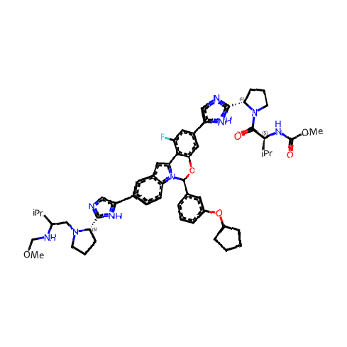 COCNC(CN1CCC[C@H]1c1ncc(-c2ccc3c(c2)cc2n3C(c3cccc(OC4CCCC4)c3)Oc3cc(-c4cnc([C@@H]5CCCN5C(=O)[C@@H](NC(=O)OC)C(C)C)[nH]4)cc(F)c3-2)[nH]1)C(C)C